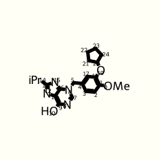 COc1ccc(Cn2cnc(O)c3nc(C(C)C)nc2-3)cc1OC1CCCC1